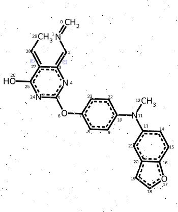 C=N/C=c1/nc(Oc2ccc(N(C)c3ccc4occc4c3)cc2)nc(O)/c1=C/C